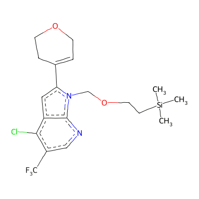 C[Si](C)(C)CCOCn1c(C2=CCOCC2)cc2c(Cl)c(C(F)(F)F)cnc21